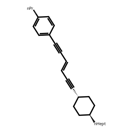 CCCCCCC[C@H]1CC[C@H](C#C/C=C/C#Cc2ccc(CCC)cc2)CC1